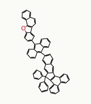 c1ccc(C2(c3ccccc3)c3cc4cc(-c5c6ccccc6c(-c6ccc7oc8c9ccccc9ccc8c7c6)c6ccccc56)ccc4cc3-c3c2c2ccccc2c2ccccc32)cc1